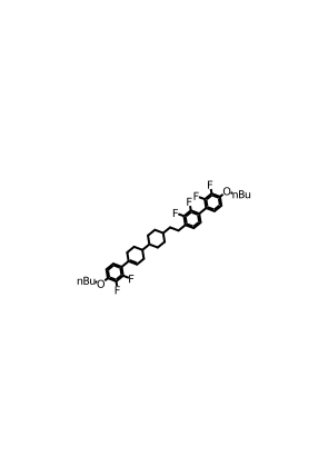 CCCCOc1ccc(C2=CCC(C3CCC(CCc4ccc(-c5ccc(OCCCC)c(F)c5F)c(F)c4F)CC3)CC2)c(F)c1F